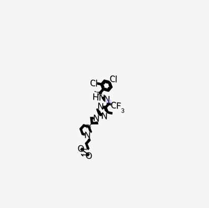 Cc1nc(N2CC([C@H]3CCCN(CCCS(C)(=O)=O)C3)C2)cnc1/C(=N\N[C@H](C)c1ccc(Cl)cc1Cl)C(F)(F)F